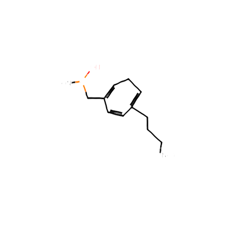 CCCCCCCCCCCCC1=CCC=C(CP(O)N=O)C=C1